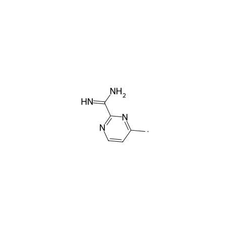 [CH2]c1ccnc(C(=N)N)n1